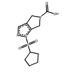 O=C(O)N1Cc2cnn(S(=O)(=O)C3CCCC3)c2C1